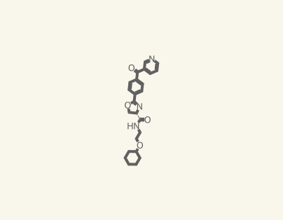 O=C(c1ccc(C2=N[C@H](C(=O)NCCOC3CCCCC3)CO2)cc1)c1cccnc1